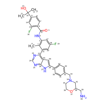 Cc1c(NC(=O)c2ccc(C(C)(C)O)cc2F)cc(F)cc1-c1ncnc2[nH]c(-c3ccc(CN4CCOC(CN)C4)cc3)cc12